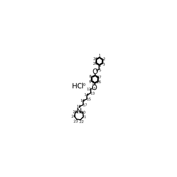 Cl.c1ccc(COc2ccc(OCCCCCCCN3CCCCCC3)cc2)cc1